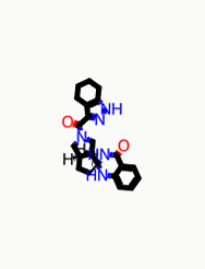 O=C1N[C@]2(CC[C@@H]3CN(C(=O)c4n[nH]c5c4CCCC5)C[C@@H]32)Nc2ccccc21